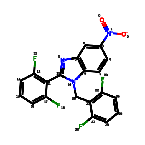 O=[N+]([O-])c1ccc2c(c1)nc(-c1c(F)cccc1F)n2Cc1c(F)cccc1F